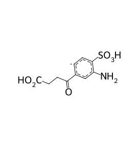 Nc1cc(C(=O)CCC(=O)O)[c]cc1S(=O)(=O)O